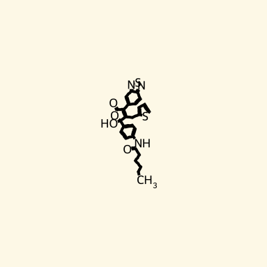 CCCCCC(=O)Nc1ccc(C2(O)OC(=O)C(c3ccc4nsnc4c3)=C2Cc2cccs2)cc1